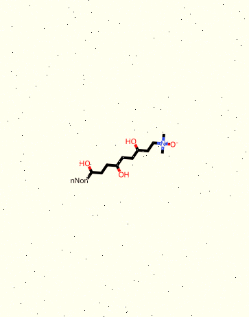 CCCCCCCCCC(O)CCC(O)CCC(O)CC[N+](C)(C)[O-]